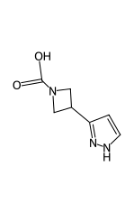 O=C(O)N1CC(c2cc[nH]n2)C1